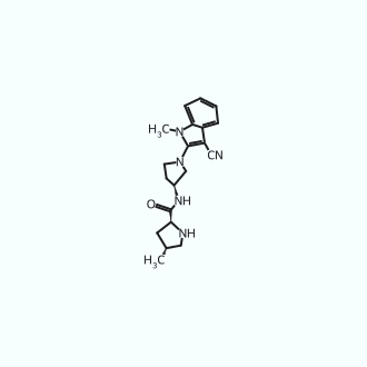 C[C@@H]1CN[C@H](C(=O)N[C@H]2CCN(c3c(C#N)c4ccccc4n3C)C2)C1